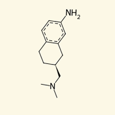 CN(C)C[C@H]1CCc2ccc(N)cc2C1